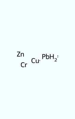 [Cr].[Cu].[PbH2].[Zn]